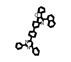 c1ccc(-c2cc(-c3ccc(-c4ccc5c(c4)nc(-c4cccc6ccccc46)c4c6ccccc6oc54)cc3)nc(-c3ccccc3)n2)cc1